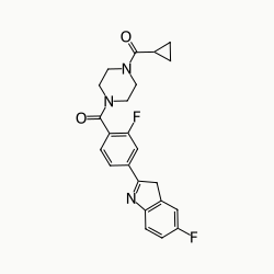 O=C(c1ccc(C2=Nc3ccc(F)cc3C2)cc1F)N1CCN(C(=O)C2CC2)CC1